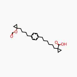 O=COC1(CCCCc2ccc(CCCCCCC3(C(=O)O)CC3)cc2)CC1